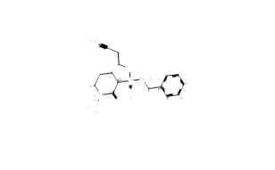 N#CCCOP(=O)(NCc1ccccc1)C1CCCN(O)C1=O